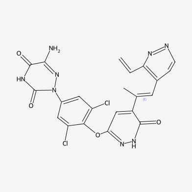 C=Cc1nnccc1/C=C(\C)c1cc(Oc2c(Cl)cc(-n3nc(N)c(=O)[nH]c3=O)cc2Cl)n[nH]c1=O